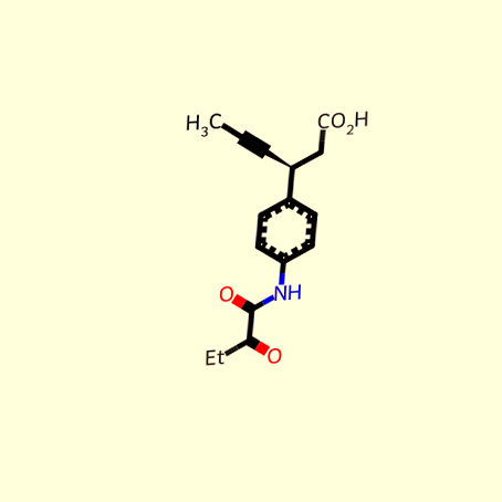 CC#C[C@@H](CC(=O)O)c1ccc(NC(=O)C(=O)CC)cc1